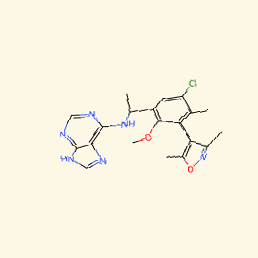 COc1c(C(C)Nc2ncnc3[nH]cnc23)cc(Cl)c(C)c1-c1c(C)noc1C